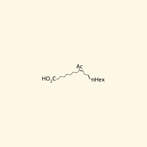 CCCCCC/C=C/C/C=C(\CCCCCCCC(=O)O)C(C)=O